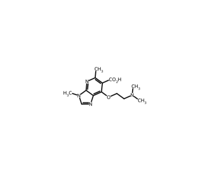 Cc1nc2c(ncn2C)c(OCCN(C)C)c1C(=O)O